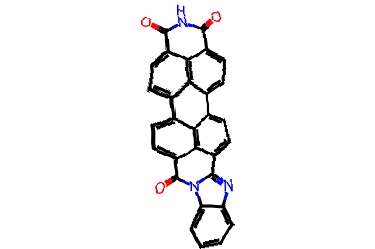 O=C1NC(=O)c2ccc3c4ccc5c6c(ccc(c7ccc1c2c73)c46)c(=O)n1c2ccccc2nc51